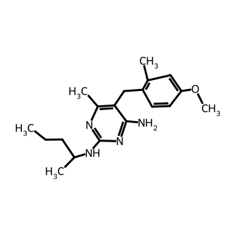 CCCC(C)Nc1nc(C)c(Cc2ccc(OC)cc2C)c(N)n1